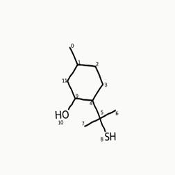 CC1CCC(C(C)(C)S)C(O)C1